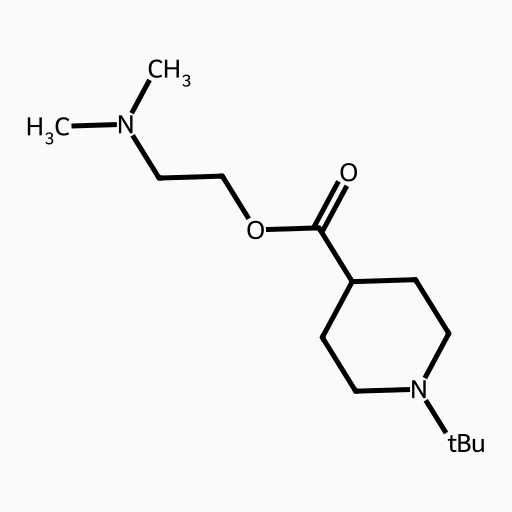 CN(C)CCOC(=O)C1CCN(C(C)(C)C)CC1